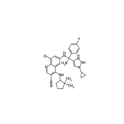 BC(Nc1cc(Cl)c2ncc(C#N)c(NC3CCCC3(C)C)c2c1)(C1=CN(C2CC2)NN1)c1ccc(F)cc1